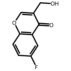 O=c1c(CO)coc2ccc(F)cc12